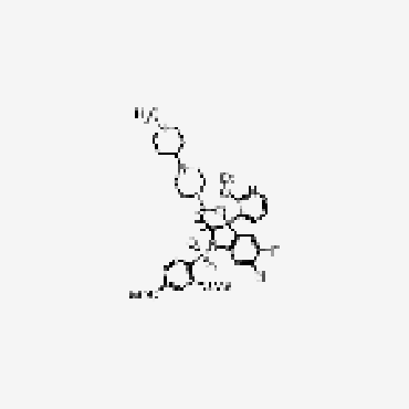 CCOc1ncccc1C1(OC(=O)N2CCN(C3CCN(C)CC3)CC2)C(=O)N(S(=O)(=O)c2ccc(OC)cc2OC)c2cc(Cl)c(F)cc21